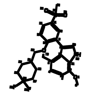 COc1ncc(C)c2c(-c3cc(S(C)(=O)=O)ccc3OCC3CCC(F)(F)CC3)c[nH]c12